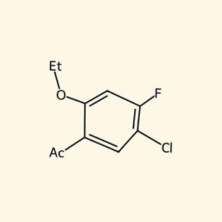 CCOc1cc(F)c(Cl)cc1C(C)=O